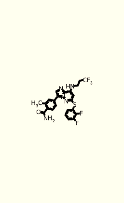 Cc1cc(-c2cnc3c(NCCC(F)(F)F)cc(Sc4cccc(F)c4F)nn23)ccc1C(N)=O